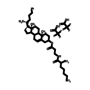 CC(C)CCC[C@@H](C)[C@H]1CCC2C3CC=C4CC(OC(=O)CCNC(=O)C(N)CCCCN)CC[C@]4(C)C3CC[C@@]21C.O=C(O)C(F)(F)F.O=C(O)C(F)(F)F